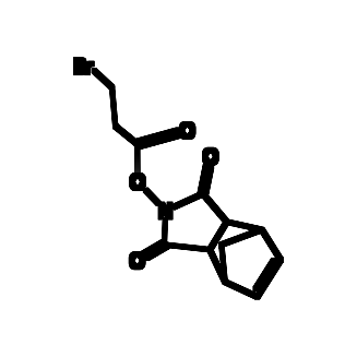 O=C(CCBr)ON1C(=O)C2C3C=CC(C3)C2C1=O